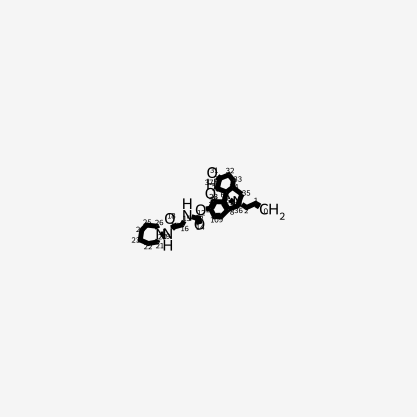 C=CCN1CC[C@]23c4c5ccc(OC(=O)NCC(=O)NN6CCCCCC6)c4O[C@H]2C(=O)CCC3C1C5